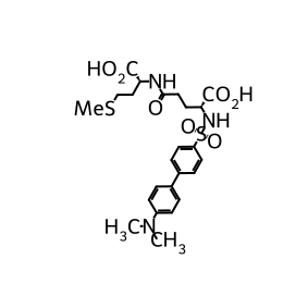 CSCC[C@H](NC(=O)CC[C@H](NS(=O)(=O)c1ccc(-c2ccc(N(C)C)cc2)cc1)C(=O)O)C(=O)O